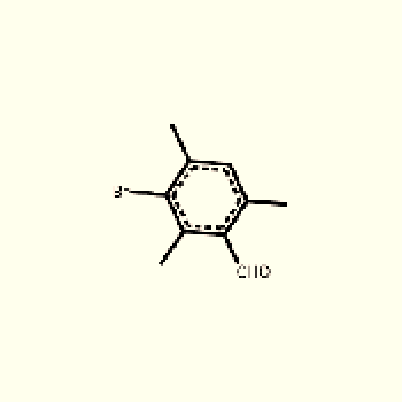 Cc1cc(C)c(C=O)c(C)c1Br